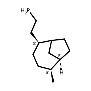 C[C@H]1CC[C@@H](CCP)C2CC[C@@H]1C2